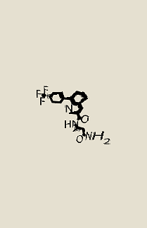 C[C@H](CC(N)=O)NC(=O)c1cnc2c(C3=CC[C@@H](C(F)(F)F)CC3)cccc2c1